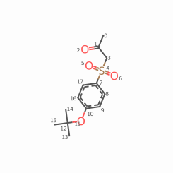 CC(=O)CS(=O)(=O)c1ccc(OC(C)(C)C)cc1